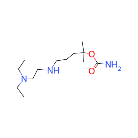 CCN(CC)CCNCCCC(C)(C)OC(N)=O